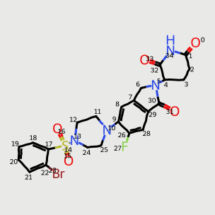 O=C1CCC(N2Cc3cc(N4CCN(S(=O)(=O)c5ccccc5Br)CC4)c(F)cc3C2=O)C(=O)N1